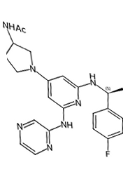 CC(=O)NC1CCN(c2cc(Nc3cnccn3)nc(N[C@@H](C)c3ccc(F)cc3)c2)C1